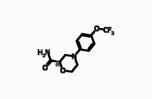 NC(=O)[C@H]1CN(c2ccc(OC(F)(F)F)cc2)CCO1